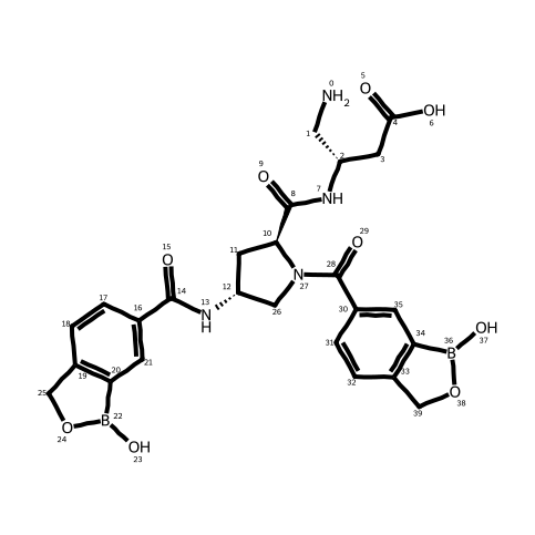 NC[C@H](CC(=O)O)NC(=O)[C@@H]1C[C@@H](NC(=O)c2ccc3c(c2)B(O)OC3)CN1C(=O)c1ccc2c(c1)B(O)OC2